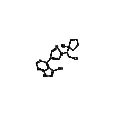 N#CCC(n1cc(-c2ncnc3[nH]cc(O)c23)cn1)C1(O)CCCC1